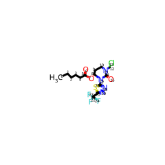 CCCCCC(=O)OC1CCN(CCl)C(=O)N1c1nnc(C(F)(F)F)s1